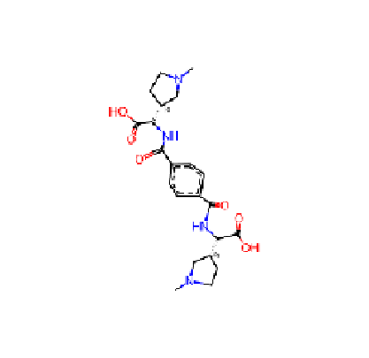 CN1CC[C@@H](C(NC(=O)c2ccc(C(=O)NC(C(=O)O)[C@@H]3CCN(C)C3)cc2)C(=O)O)C1